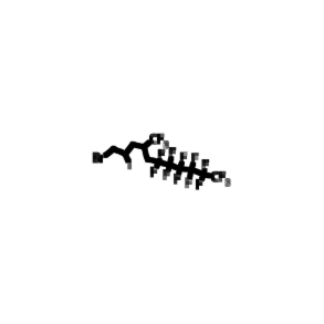 FC(F)(F)C(CC(I)CBr)CC(F)(F)C(F)(F)C(F)(F)C(F)(F)C(F)(F)C(F)(F)F